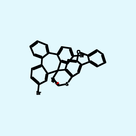 Brc1ccc2c(c1)C1(c3ccccc3Sc3cc4c(cc31)oc1ccccc14)c1cc(Br)ccc1-c1ccccc1-2